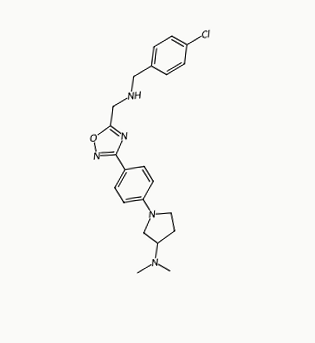 CN(C)C1CCN(c2ccc(-c3noc(CNCc4ccc(Cl)cc4)n3)cc2)C1